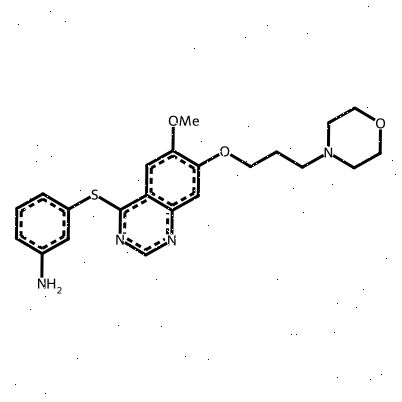 COc1cc2c(Sc3cccc(N)c3)ncnc2cc1OCCCN1CCOCC1